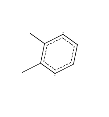 Cc1[c]cc[c]c1C